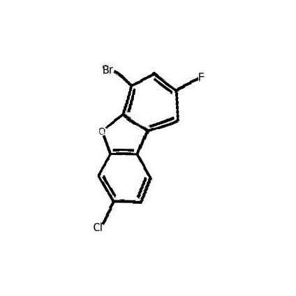 Fc1cc(Br)c2oc3cc(Cl)ccc3c2c1